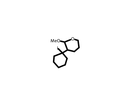 COC1OCCCC1C1(I)CCCCC1